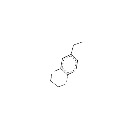 CC(C)Cc1cnc2c(c1)OCCO2